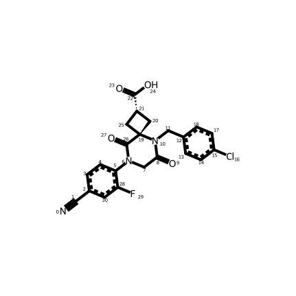 N#Cc1ccc(N2CC(=O)N(Cc3ccc(Cl)cc3)[C@]3(C[C@@H](C(=O)O)C3)C2=O)c(F)c1